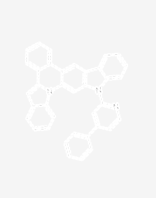 c1ccc(-c2ccnc(-n3c4ccccc4c4cc5c6ccccc6c6cc7ccccc7n6c5cc43)c2)cc1